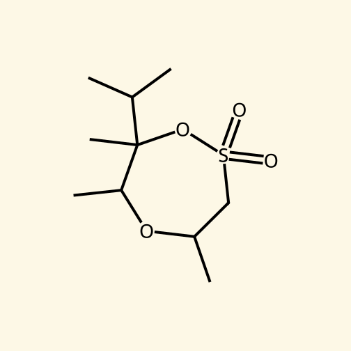 CC1CS(=O)(=O)OC(C)(C(C)C)C(C)O1